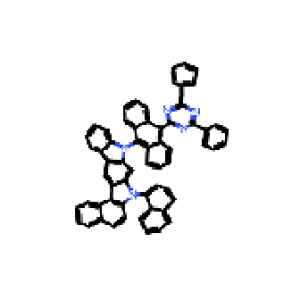 c1ccc(-c2nc(-c3ccccc3)nc(-c3c4ccccc4c(-n4c5ccccc5c5cc6c7c8ccccc8ccc7n(-c7cccc8ccccc78)c6cc54)c4ccccc34)n2)cc1